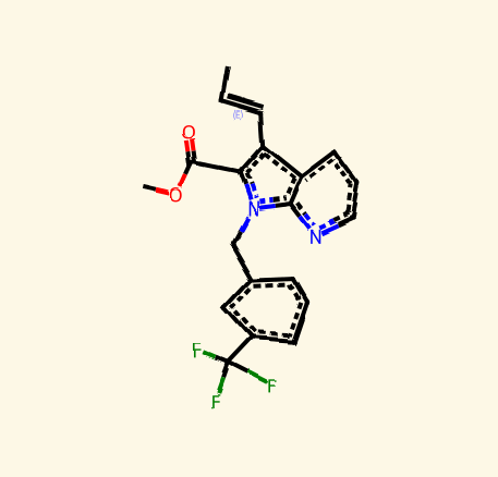 C/C=C/c1c(C(=O)OC)n(Cc2cccc(C(F)(F)F)c2)c2ncccc12